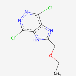 CCOCc1nc2c(Cl)nnc(Cl)c2[nH]1